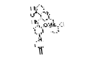 COc1cc(N2CCNCC2)ccc1Nc1cc(Cc2ccccc2Cl)nc2cc[nH]c(=O)c12